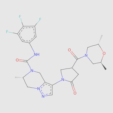 C[C@H]1CN(C(=O)C2CC(=O)N(c3cnn4c3CN(C(=O)Nc3cc(F)c(F)c(F)c3)[C@@H](C)C4)C2)C[C@H](C)O1